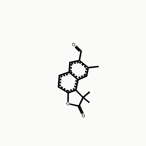 Cc1cc2c3c(ccc2cc1C=O)OC(=O)C3(C)C